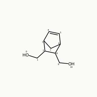 OCC1C2C=CC(C2)C1CO